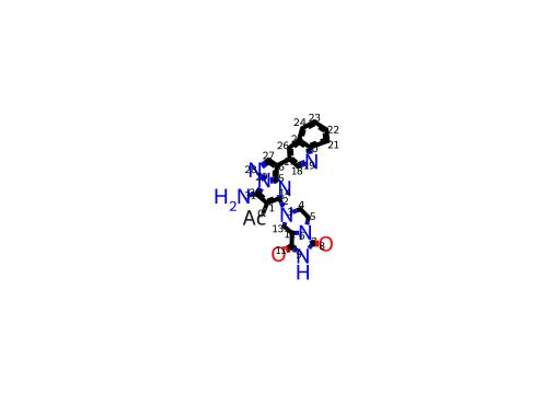 CC(=O)c1c(N2CCN3C(=O)NC(=O)C3C2)nc2c(-c3cnc4ccccc4c3)cnn2c1N